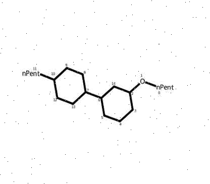 CCCCCOC1CCCC(C2CCC(CCCCC)CC2)C1